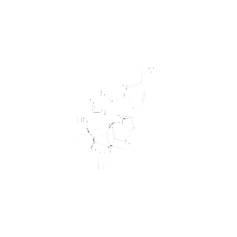 CCC(c1c(C)noc1C)n1c(NS(=O)(=O)C(C)C(OC(C)C)c2ncc(C)cn2)nnc1-c1cccc(OC)n1